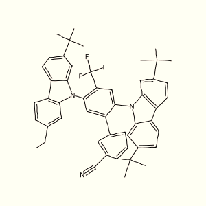 CCc1ccc2c3ccc(C(C)(C)C)cc3n(-c3cc(-c4cccc(C#N)c4)c(-n4c5cc(C(C)(C)C)ccc5c5ccc(C(C)(C)C)cc54)cc3C(F)(F)F)c2c1